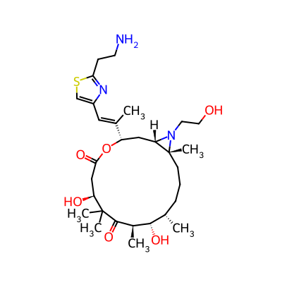 C/C(=C\c1csc(CCN)n1)[C@@H]1C[C@@H]2N(CCO)[C@]2(C)CCC[C@H](C)[C@H](O)[C@@H](C)C(=O)C(C)(C)[C@@H](O)CC(=O)O1